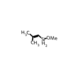 CO[SiH2]C=C(C)C